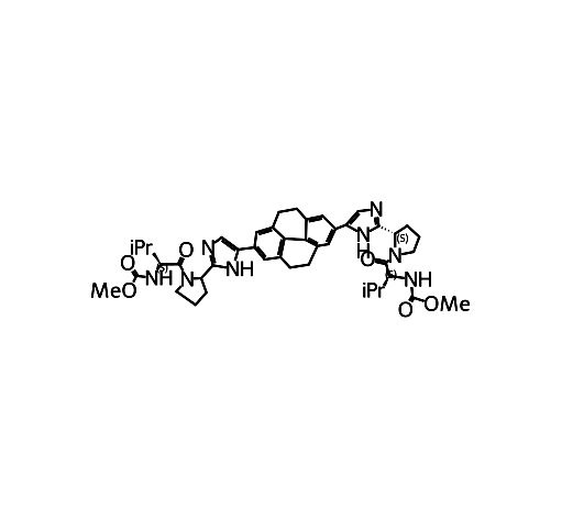 COC(=O)N[C@H](C(=O)N1CCCC1c1ncc(-c2cc3c4c(c2)CCc2cc(-c5cnc([C@@H]6CCCN6C(=O)[C@@H](NC(=O)OC)C(C)C)[nH]5)cc(c2-4)CC3)[nH]1)C(C)C